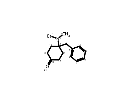 CCN(C)C1(Cc2ccccc2)CCC(=O)CC1